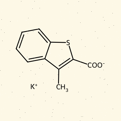 Cc1c(C(=O)[O-])sc2ccccc12.[K+]